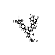 CN[C@@H](C)C(=O)Nc1ncc(-c2ccc(C3=CNNN3)cc2)n(Cc2cncc(-n3cc(C)c4cc(F)ccc43)c2)c1=O